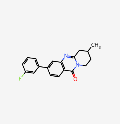 CC1CCn2c(nc3cc(-c4cccc(F)c4)ccc3c2=O)C1